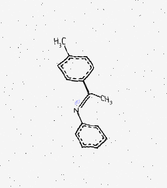 C/C(=N\c1ccccc1)c1ccc(C)cc1